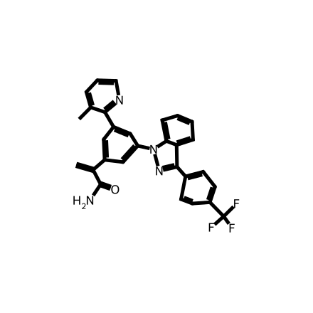 C=C(C(N)=O)c1cc(-c2ncccc2C)cc(-n2nc(-c3ccc(C(F)(F)F)cc3)c3ccccc32)c1